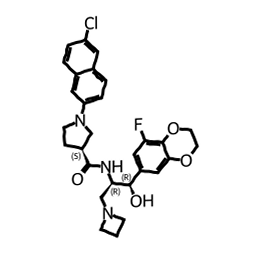 O=C(N[C@H](CN1CCC1)[C@H](O)c1cc(F)c2c(c1)OCCO2)[C@H]1CCN(c2ccc3cc(Cl)ccc3c2)C1